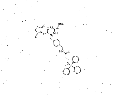 CC(C)(C)OC(=O)N[C@H](Cc1ccc(CNC(=O)CCSC(c2ccccc2)(c2ccccc2)c2ccccc2)cc1)C(=O)ON1C(=O)CCC1=O